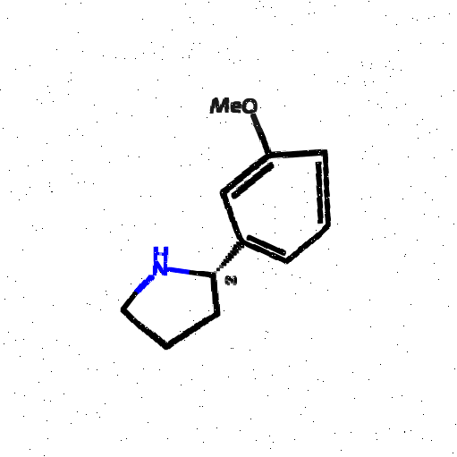 COc1cccc([C@@H]2CCCN2)c1